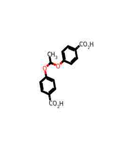 CC(Oc1ccc(C(=O)O)cc1)Oc1ccc(C(=O)O)cc1